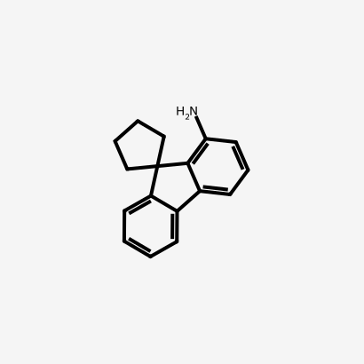 Nc1cccc2c1C1(CCCC1)c1ccccc1-2